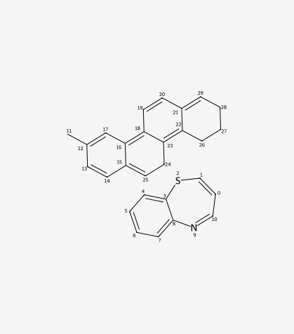 C1=CSc2ccccc2N=C1.Cc1ccc2c(c1)=c1ccc3c(c1CC=2)CCCC=3